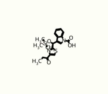 CCC(=O)c1csc(C(O[Si](C)(C)C)c2cn(C(=O)O)c3ccccc23)n1